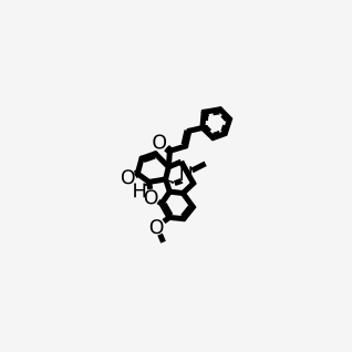 COC1=C2O[C@H]3C(=O)C=CC4(C(=O)C=Cc5ccccc5)C5CC(C=C1)C2[C@@]34CCN5C